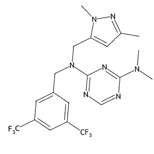 Cc1cc(CN(Cc2cc(C(F)(F)F)cc(C(F)(F)F)c2)c2ncnc(N(C)C)n2)n(C)n1